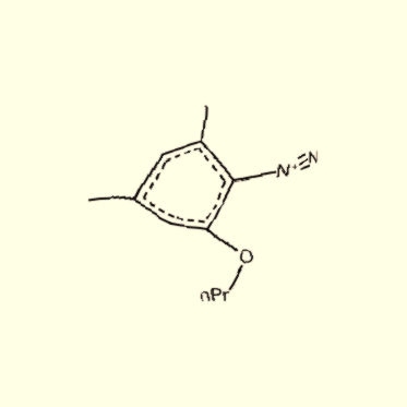 CCCOc1cc(C)cc(C)c1[N+]#N